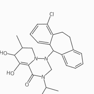 CC1CN2C(=C(O)C1O)C(=O)N(C(C)C)CN2C1c2ccccc2CCc2c(Cl)cccc21